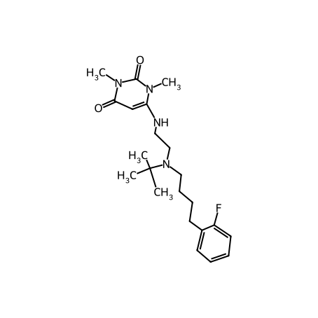 Cn1c(NCCN(CCCCc2ccccc2F)C(C)(C)C)cc(=O)n(C)c1=O